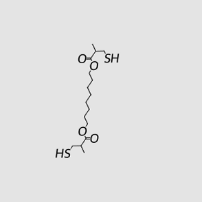 CC(CS)C(=O)OCCCCCCCCOC(=O)C(C)CS